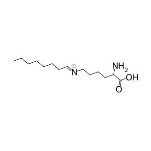 CCCCCCC/C=N/CCCCC(N)C(=O)O